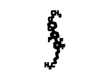 CCCCCCc1ccc(-c2ccc(C3CCC(OCC)CO3)cc2F)c(F)c1F